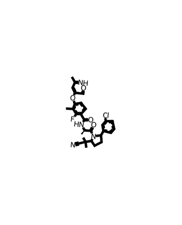 CC(=N)/C=C(\C=O)Oc1ccc(C(=O)N[C@H](C)C(=O)N2C(c3cccc(Cl)c3)CCC2C(C)(C)C#N)c(F)c1C